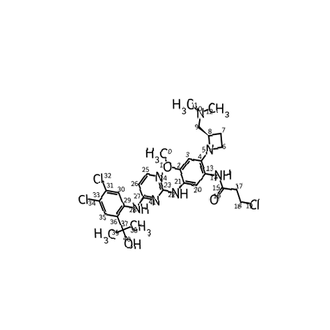 COc1cc(N2CC[C@@H]2CN(C)C)c(NC(=O)CCCl)cc1Nc1nccc(Nc2cc(Cl)c(Cl)cc2C(C)(C)O)n1